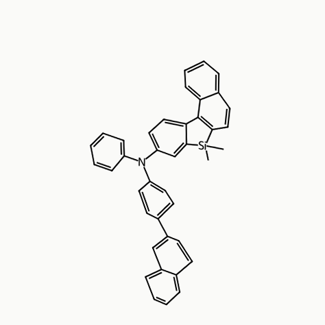 C[Si]1(C)c2cc(N(c3ccccc3)c3ccc(-c4ccc5ccccc5c4)cc3)ccc2-c2c1ccc1ccccc21